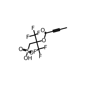 CC#CC(=O)OC(CS(=O)(=O)O)(C(F)(F)F)C(F)(F)F